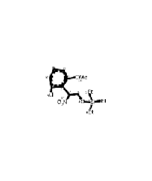 CC[Si](CC)(CC)OCC(c1c(Cl)cccc1OC)[N+](=O)[O-]